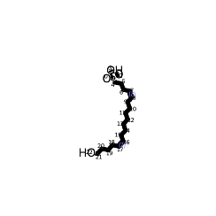 O=S(=O)(O)CCC/C=C\CCCCCCC/C=C\CCCCO